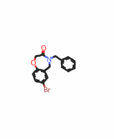 O=C1COc2ccc(Br)cc2CN1Cc1ccccc1